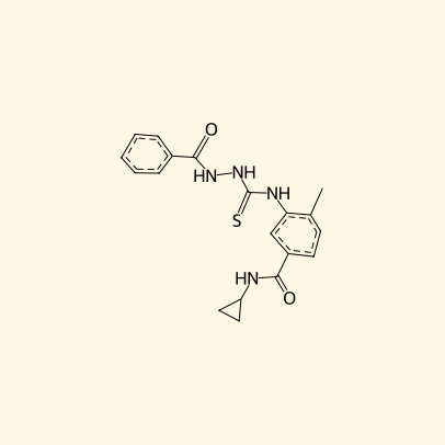 Cc1ccc(C(=O)NC2CC2)cc1NC(=S)NNC(=O)c1ccccc1